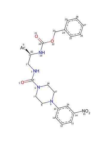 CC(=O)[C@H](CNC(=O)N1CCN(c2cccc([N+](=O)[O-])c2)CC1)NC(=O)OCc1ccccc1